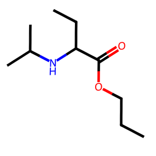 CCCOC(=O)C(CC)NC(C)C